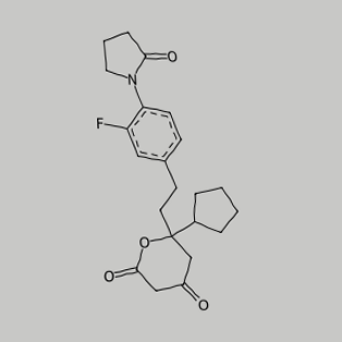 O=C1CC(=O)OC(CCc2ccc(N3CCCC3=O)c(F)c2)(C2CCCC2)C1